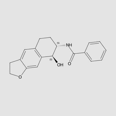 O=C(N[C@H]1CCc2cc3c(cc2[C@@H]1O)OCC3)c1ccccc1